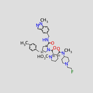 Cc1ccc(C[C@@H]2C[C@@H](C(=O)NCc3ccc4c(cnn4C)c3)N(C(=O)[C@H]3[C@@H](C(=O)N(C)C4CCN(CCF)CC4)CCCN3C(=O)O)C2)cc1